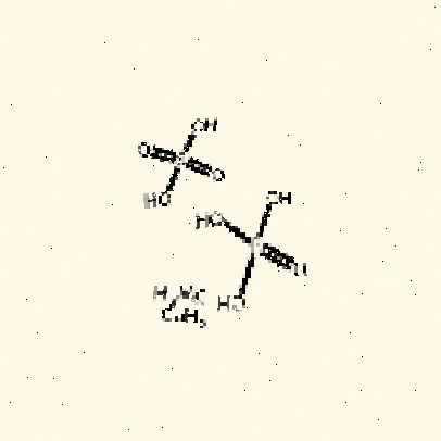 O=P(O)(O)O.O=S(=O)(O)O.[CaH2].[MgH2]